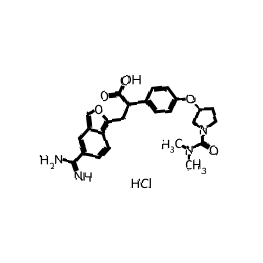 CN(C)C(=O)N1CC[C@H](Oc2ccc(C(Cc3occ4cc(C(=N)N)ccc34)C(=O)O)cc2)C1.Cl